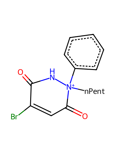 CCCCC[N+]1(c2ccccc2)NC(=O)C(Br)=CC1=O